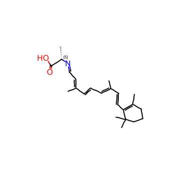 CC(C=CC1=C(C)CCCC1(C)C)=CC=CC(C)=CC=N[C@@H](C)C(=O)O